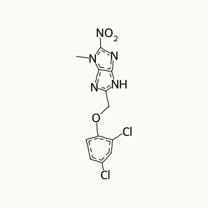 Cn1c([N+](=O)[O-])nc2[nH]c(COc3ccc(Cl)cc3Cl)nc21